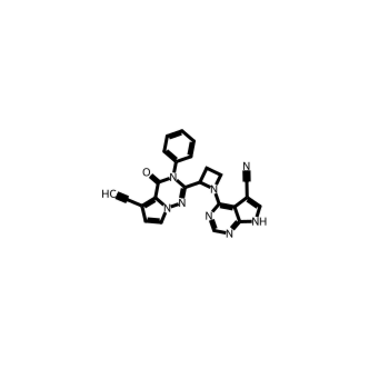 C#Cc1ccn2nc(C3CCN3c3ncnc4[nH]cc(C#N)c34)n(-c3ccccc3)c(=O)c12